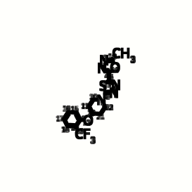 Cc1nnc(-c2nnc(N3CCC(Oc4ccccc4C(F)(F)F)CC3)s2)o1